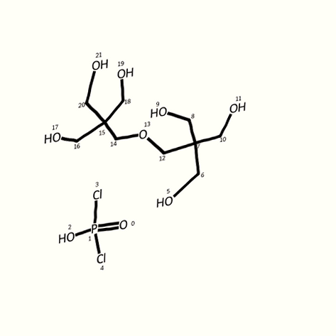 O=P(O)(Cl)Cl.OCC(CO)(CO)COCC(CO)(CO)CO